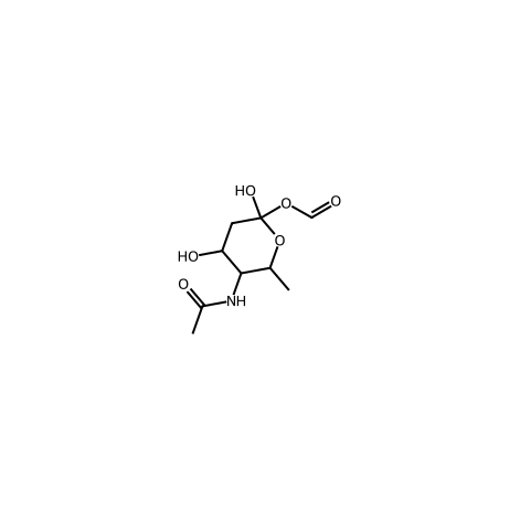 CC(=O)NC1C(O)CC(O)(OC=O)OC1C